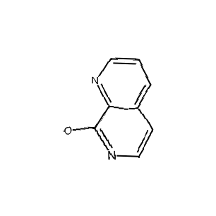 [O]c1nccc2cccnc12